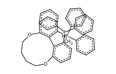 C[PH](c1ccccc1)(c1ccccc1)c1cccc2c1-c1c(cccc1P(c1ccccc1)c1ccccc1)OCCCCO2